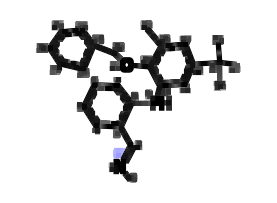 C/N=C/c1ccccc1Pc1cc(C(C)(C)C)cc(C)c1OCc1ccccc1